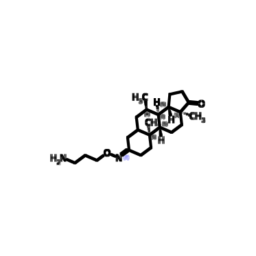 C[C@@H]1CC2C/C(=N\OCCCN)CC[C@]2(C)[C@H]2CC[C@]3(C)C(=O)CC[C@H]3[C@H]12